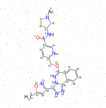 CC(=O)N1CCC(NC(=O)c2ccc(COc3nn4c(-c5cc(C)on5)nnc4c4ccccc34)nc2)C1